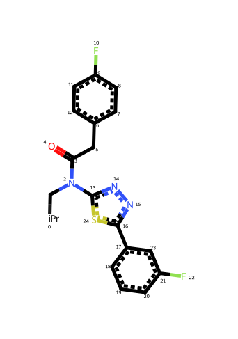 CC(C)CN(C(=O)Cc1ccc(F)cc1)c1nnc(-c2cccc(F)c2)s1